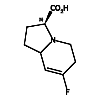 O=C(O)[C@@H]1CCC2C=C(F)CCN21